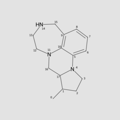 CC1CCN2c3cccc4c3N(CCNC4)CC12